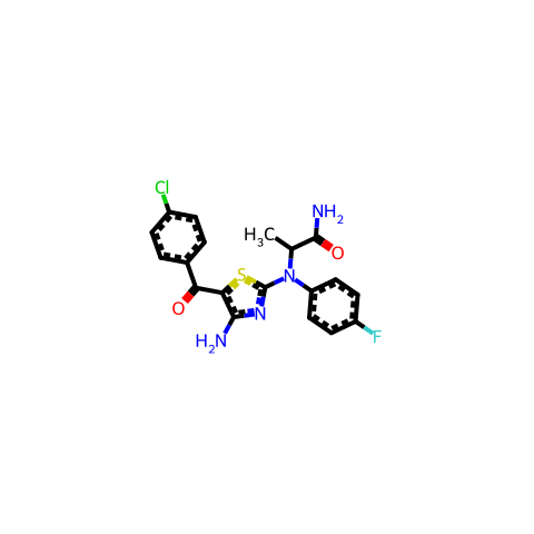 CC(C(N)=O)N(c1ccc(F)cc1)c1nc(N)c(C(=O)c2ccc(Cl)cc2)s1